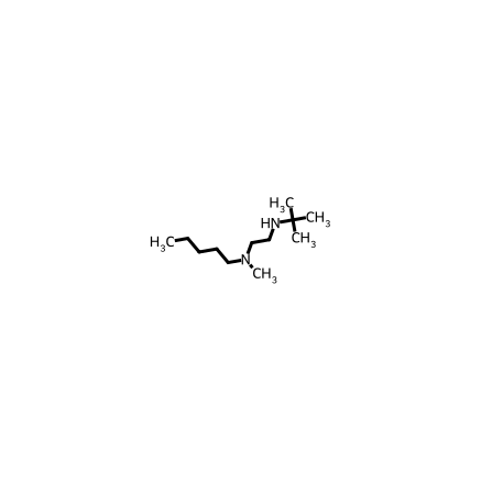 CCCCCN(C)CCNC(C)(C)C